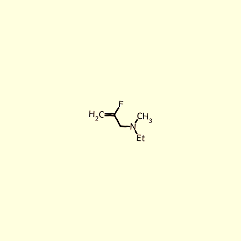 C=C(F)CN(C)CC